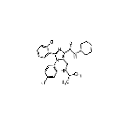 CC(C)NCc1c(C(=O)NC2CCCCC2)nc(-c2ccccc2Cl)n1-c1ccc(Cl)cc1